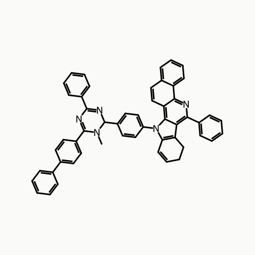 CN1C(c2ccc(-c3ccccc3)cc2)=NC(c2ccccc2)=NC1c1ccc(-n2c3c(c4c(-c5ccccc5)nc5c6ccccc6ccc5c42)CCC=C3)cc1